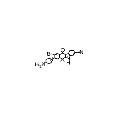 CC1(C)c2cc(N3CCC(N)CC3)c(Br)cc2C(=O)c2c1[nH]c1cc(C#N)ccc21